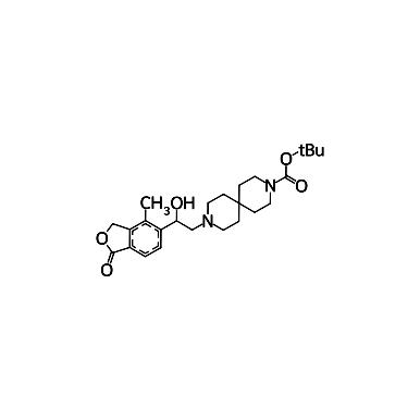 Cc1c(C(O)CN2CCC3(CC2)CCN(C(=O)OC(C)(C)C)CC3)ccc2c1COC2=O